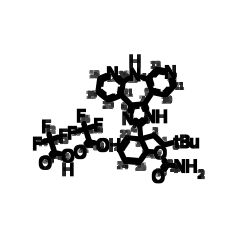 CC(C)(C)CCC1(c2nc3c([nH]2)-c2ccncc2Nc2ncccc2-3)C=CC=CC1OC(N)=O.O=C(O)C(F)(F)F.O=C(O)C(F)(F)F